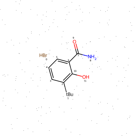 Br.CC(C)(C)c1cccc(C(N)=O)c1O